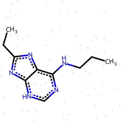 CCCNc1nc[nH]c2nc(CC)nc1-2